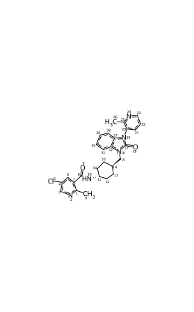 Cc1ncc(Cl)cc1C(=O)N[C@H]1CC[C@H](Cn2c(=O)n(-c3cccnc3C)c3ccccc32)CC1